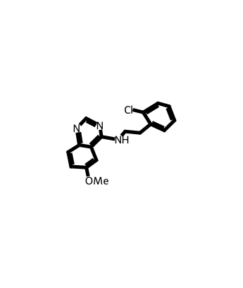 COc1ccc2ncnc(NCCc3ccccc3Cl)c2c1